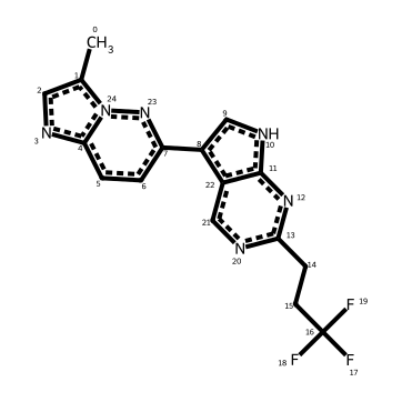 Cc1cnc2ccc(-c3c[nH]c4nc(CCC(F)(F)F)ncc34)nn12